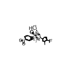 Cc1cc([C@H](N)CN(C)S(=O)(=O)c2ccc([N+](=O)[O-])cc2)ccc1F.Cl